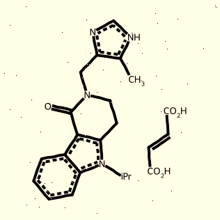 Cc1[nH]cnc1CN1CCc2c(c3ccccc3n2C(C)C)C1=O.O=C(O)C=CC(=O)O